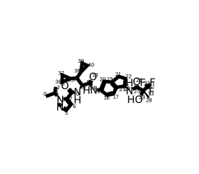 CC(C)n1nccc1C(=O)N[C@H](C(=O)Nc1ccc2c(c1)CC[C@H]2NC(=O)[C@@](C)(O)C(F)(F)F)C(C1CC1)C1CC1